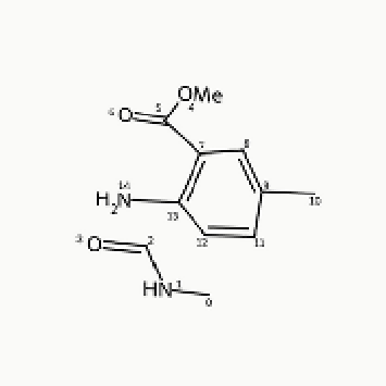 CNC=O.COC(=O)c1cc(C)ccc1N